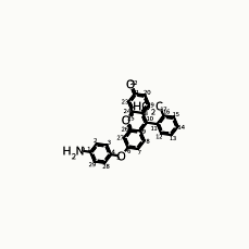 Nc1ccc(Oc2ccc3c(-c4ccccc4C(=O)O)c4ccc(=O)cc-4oc3c2)cc1